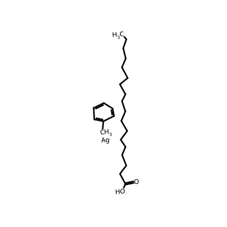 CCCCCCCCCCCCCCCCCC(=O)O.Cc1ccccc1.[Ag]